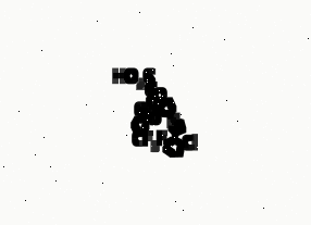 O=C(O)CCC1CN(S(=O)(=O)c2cccc(C(F)(F)F)c2)c2cc(N3CCC(c4c(F)cccc4Cl)C3)ccc2O1